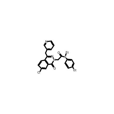 CCc1ccc(N(CC)C(=O)Cn2nc(Cc3cccnc3)c3ccc(Cl)cc3c2=O)cc1